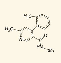 Cc1cc(-c2ccccc2C)c(C(=O)NC(C)(C)C)cn1